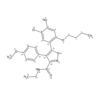 CCCCOc1cc(O)c(Cl)cc1-c1onc(C(=O)NCC)c1-c1ccc(OC)cc1